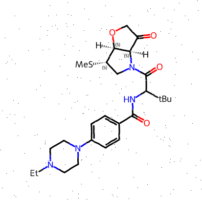 CCN1CCN(c2ccc(C(=O)NC(C(=O)N3C[C@H](SC)[C@H]4OCC(=O)[C@H]43)C(C)(C)C)cc2)CC1